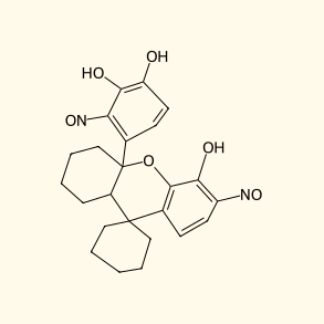 O=Nc1ccc2c(c1O)OC1(c3ccc(O)c(O)c3N=O)CCCCC1C21CCCCC1